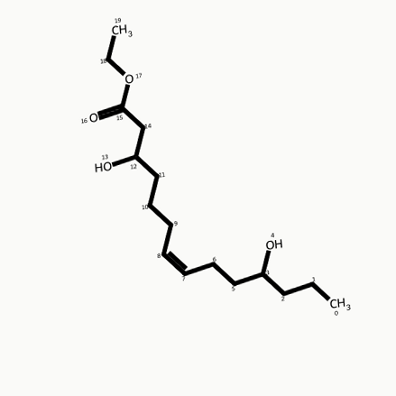 CCCC(O)CC/C=C\CCCC(O)CC(=O)OCC